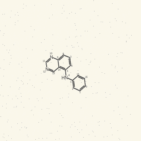 c1ccc(Nc2cccc3ncncc23)cc1